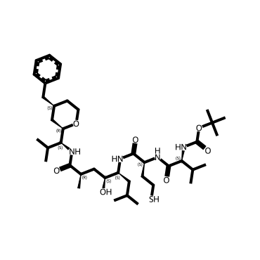 CC(C)C[C@H](NC(=O)[C@H](CCS)NC(=O)[C@@H](NC(=O)OC(C)(C)C)C(C)C)[C@@H](O)C[C@@H](C)C(=O)N[C@@H](C(C)C)[C@H]1C[C@@H](Cc2ccccc2)CCO1